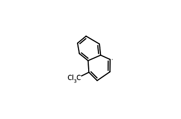 ClC(Cl)(Cl)c1cc[c]c2ccccc12